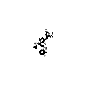 Cc1c(F)cccc1Nc1cc(NC2CC2)n2ncc(/C=C3\CC(=O)NC3=O)c2n1